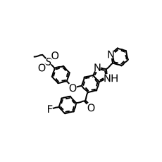 CCS(=O)(=O)c1ccc(Oc2cc3nc(-c4ccccn4)[nH]c3cc2C(=O)c2ccc(F)cc2)cc1